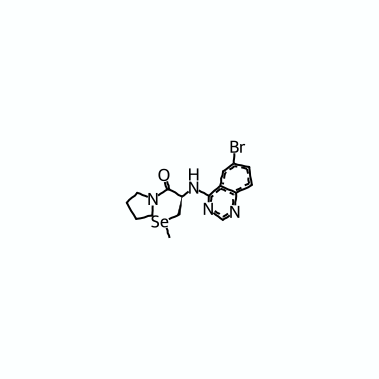 C[Se]C[C@H](Nc1ncnc2ccc(Br)cc12)C(=O)N1CCCC1